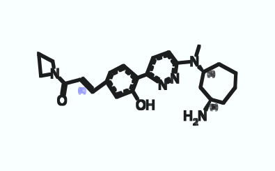 CN(c1ccc(-c2ccc(/C=C/C(=O)N3CCC3)cc2O)nn1)[C@H]1CCCC[C@@H](N)C1